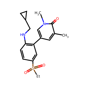 CCS(=O)(=O)c1ccc(NCC2CC2)c(-c2cc(C)c(=O)n(C)c2)c1